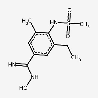 CCc1cc(C(=N)NO)cc(C)c1NS(C)(=O)=O